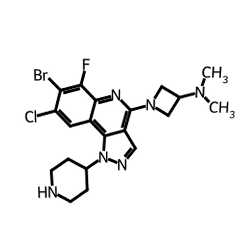 CN(C)C1CN(c2nc3c(F)c(Br)c(Cl)cc3c3c2cnn3C2CCNCC2)C1